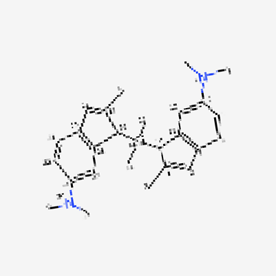 CC1=Cc2ccc(N(C)C)cc2C1[Si](C)(C)C1C(C)=Cc2ccc(N(C)C)cc21